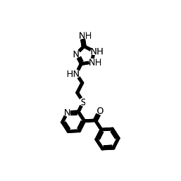 N=c1nc(NCCSc2ncccc2C(=O)c2ccccc2)[nH][nH]1